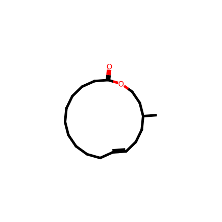 CC1CC/C=C/CCCCCCCCCC(=O)OCC1